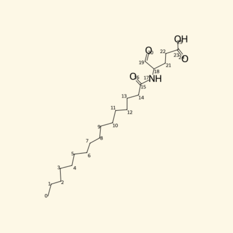 CCCCCCCCCCCCCCCC(=O)NC(C=O)CCC(=O)O